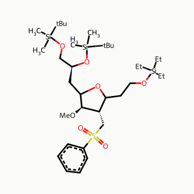 CC[Si](CC)(CC)OCCC1OC(C[C@@H](CO[Si](C)(C)C(C)(C)C)O[Si](C)(C)C(C)(C)C)[C@H](OC)[C@H]1CS(=O)(=O)c1ccccc1